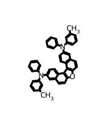 Cc1cccc(N(c2ccccc2)c2ccc3c(ccc4oc5ccc6cc(N(c7ccccc7)c7cccc(C)c7)ccc6c5c43)c2)c1